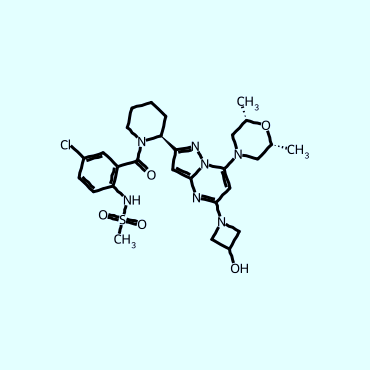 C[C@@H]1CN(c2cc(N3CC(O)C3)nc3cc([C@@H]4CCCCN4C(=O)c4cc(Cl)ccc4NS(C)(=O)=O)nn23)C[C@H](C)O1